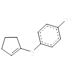 Nc1ccc(NC2=CCCC2)cc1